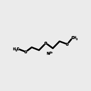 COCCOCCOC.[Ni+2]